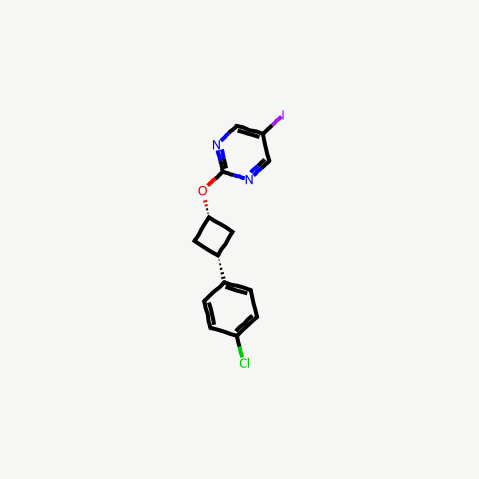 Clc1ccc([C@H]2C[C@@H](Oc3ncc(I)cn3)C2)cc1